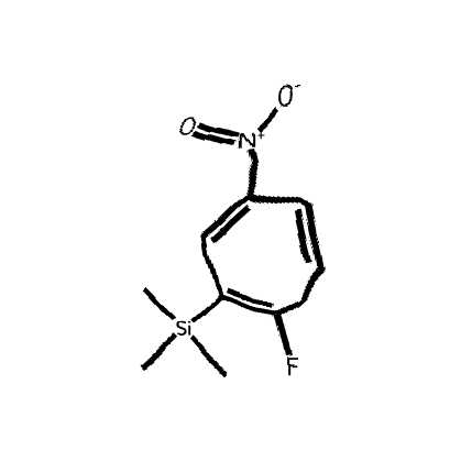 C[Si](C)(C)c1cc([N+](=O)[O-])ccc1F